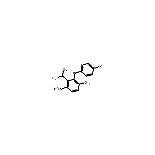 Cc1ccc(S(=O)(=O)O)c(C(C)C#N)c1Nc1ccc(Br)cn1